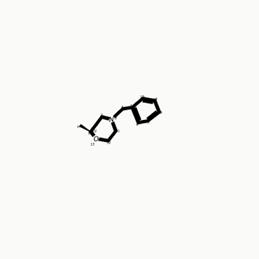 C[C@H]1CN(Cc2ccccc2)CCO1